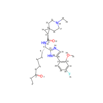 CCC(=O)CCCCC[C@H](NC(=O)[C@H]1CC12CCN(CC)CC2)c1ncc(-c2ccc(F)cc2OC)[nH]1